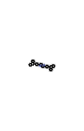 c1ccc2c(c1)cc(-c1ccc(-c3ccc4nc(-c5ccc(-c6cc7ccccc7c7ccccc67)cc5)ccc4n3)cc1)c1ccccc12